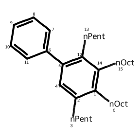 CCCCCCCCc1c(CCCCC)[c]c(-c2ccccc2)c(CCCCC)c1CCCCCCCC